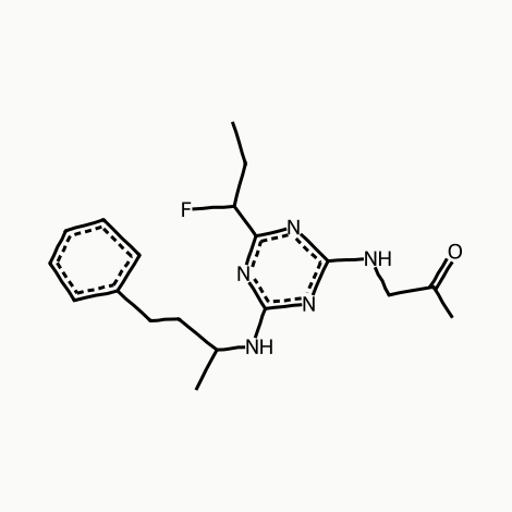 CCC(F)c1nc(NCC(C)=O)nc(NC(C)CCc2ccccc2)n1